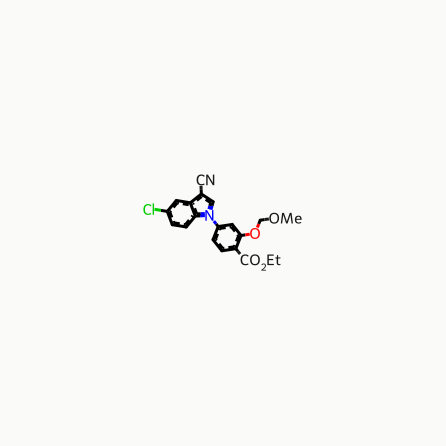 CCOC(=O)c1ccc(-n2cc(C#N)c3cc(Cl)ccc32)cc1OCOC